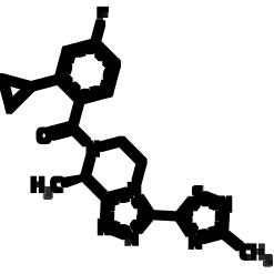 Cc1nsc(-c2nnc3n2CCN(C(=O)c2ccc(F)cc2C2CC2)[C@@H]3C)n1